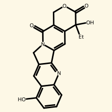 CCC1(O)C(=O)OCc2c1cc1n(c2=O)Cc2cc3c(O)cccc3nc2-1